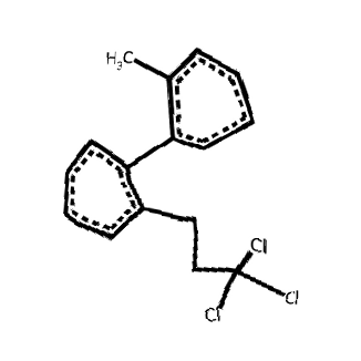 Cc1ccccc1-c1ccccc1CCC(Cl)(Cl)Cl